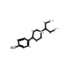 CC(C)(C)c1ccc(C2CCN(C(CF)CF)CC2)cc1